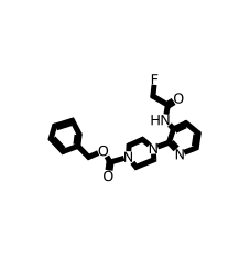 O=C(CF)Nc1cccnc1N1CCN(C(=O)OCc2ccccc2)CC1